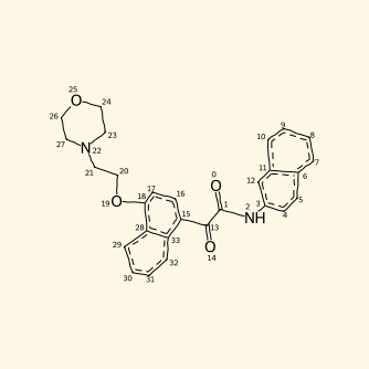 O=C(Nc1ccc2ccccc2c1)C(=O)c1ccc(OCCN2CCOCC2)c2ccccc12